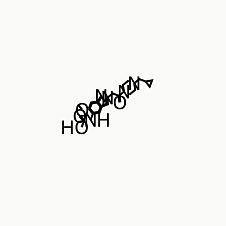 COc1cc2nn(CC(=O)N3CCN(CC4CC4)CC3)cc2cc1NC(=O)O